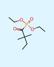 CCOP(=O)(OCC)C(=O)C(C)(C)CC